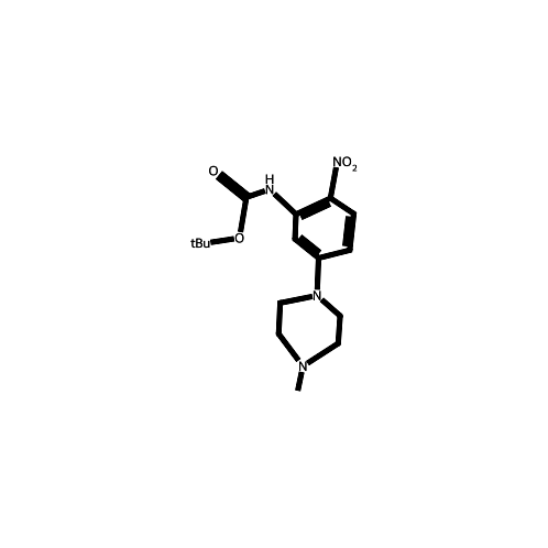 CN1CCN(c2ccc([N+](=O)[O-])c(NC(=O)OC(C)(C)C)c2)CC1